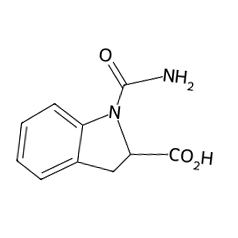 NC(=O)N1c2ccccc2CC1C(=O)O